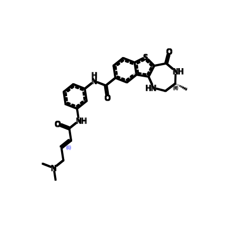 C[C@@H]1CNc2c(sc3ccc(C(=O)Nc4cccc(NC(=O)/C=C/CN(C)C)c4)cc23)C(=O)N1